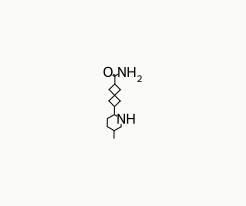 CC1CCC(C2CC3(CC(C(N)=O)C3)C2)NC1